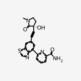 CN1CC[C@@](O)(C#Cc2cc(-c3cccc(C(N)=O)n3)c3ncsc3c2)C1=O